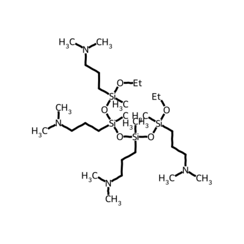 CCO[Si](C)(CCCN(C)C)O[Si](C)(CCCN(C)C)O[Si](C)(CCCN(C)C)O[Si](C)(CCCN(C)C)OCC